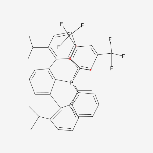 CC(C)c1cccc(C(C)C)c1-c1cccc(-c2c(C(C)C)cccc2C(C)C)c1P(c1ccccc1)c1cc(C(F)(F)F)cc(C(F)(F)F)c1